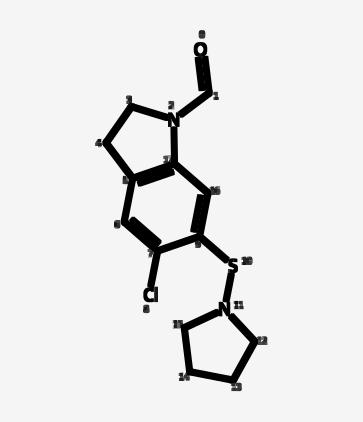 O=CN1CCc2cc(Cl)c(SN3CCCC3)cc21